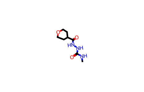 CNC(=O)NNC(=O)C1CCOCC1